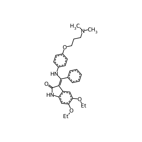 CCOc1cc2c(cc1OCC)/C(=C(/Nc1ccc(OCCCN(C)C)cc1)c1ccccc1)C(=O)N2